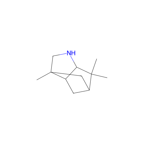 CC12CNC3C1CC(C2)C3(C)C